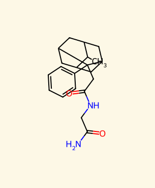 CC1C2CC3CC1CC(C2)C3(CC(=O)NCC(N)=O)c1ccccc1